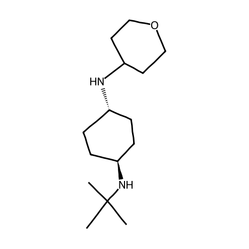 CC(C)(C)N[C@H]1CC[C@H](NC2CCOCC2)CC1